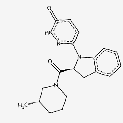 C[C@H]1CCCN(C(=O)[C@@H]2Cc3ccccc3N2c2ccc(=O)[nH]n2)C1